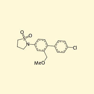 COCc1cc(N2CCCS2(=O)=O)ccc1-c1ccc(Cl)cc1